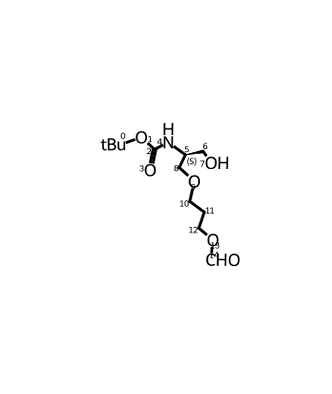 CC(C)(C)OC(=O)N[C@@H](CO)COCCCOC=O